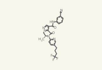 C[C@H]1Cn2ncc(C(=O)Nc3cccc(C#N)c3)c2C(=O)N1c1ccc(CCCC(F)(F)F)cn1